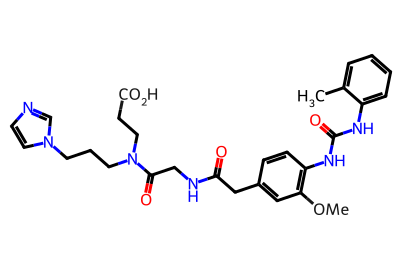 COc1cc(CC(=O)NCC(=O)N(CCCn2ccnc2)CCC(=O)O)ccc1NC(=O)Nc1ccccc1C